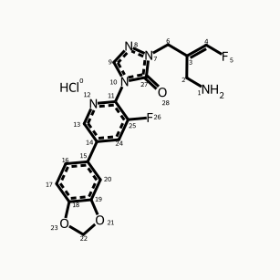 Cl.NC/C(=C\F)Cn1ncn(-c2ncc(-c3ccc4c(c3)OCO4)cc2F)c1=O